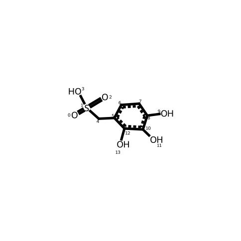 O=S(=O)(O)Cc1ccc(O)c(O)c1O